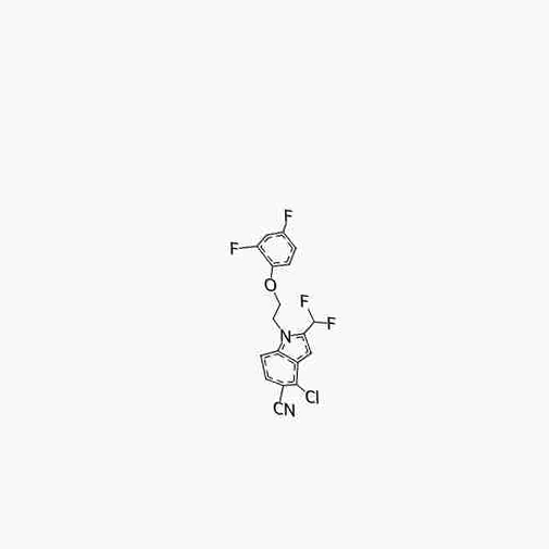 N#Cc1ccc2c(cc(C(F)F)n2CCOc2ccc(F)cc2F)c1Cl